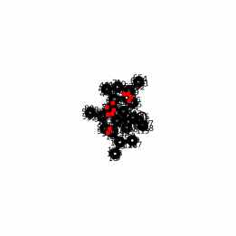 c1ccc(-c2cc(-c3ccccc3)cc(-c3cccc(-c4cc(-c5cccc(-c6cc(-c7ccccc7)cc(-c7ccccc7)c6)c5)cc(C5(c6cc(-c7cccc(-c8cc(-c9ccccc9)cc(-c9ccccc9)c8)c7)cc(-c7cccc(-c8cc(-c9ccccc9)cc(-c9ccccc9)c8)c7)c6)c6ccccc6-c6c5ccc5oc7ccccc7c65)c4)c3)c2)cc1